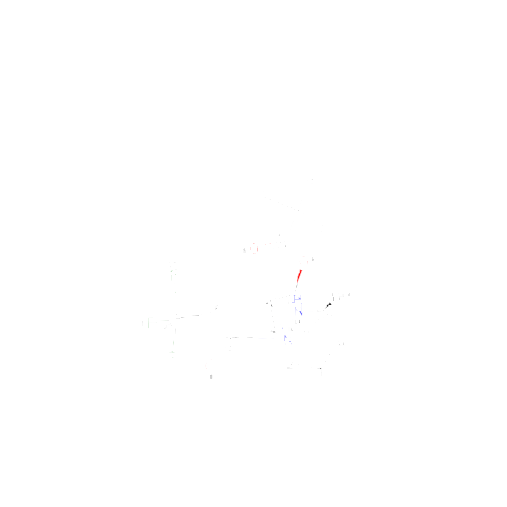 CC(C)(C)C(=O)O[C@@H]1C2C3CC(C[C@@H]1N3)CN2C(=O)CC(F)(F)F